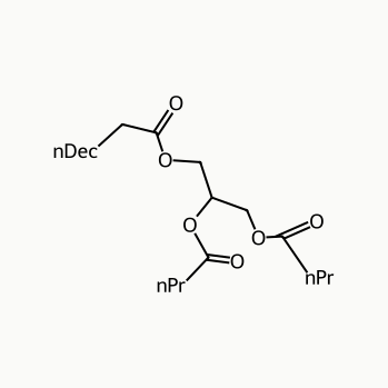 CCCCCCCCCCCC(=O)OCC(COC(=O)CCC)OC(=O)CCC